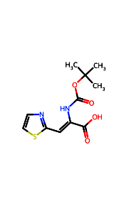 CC(C)(C)OC(=O)N/C(=C\c1nccs1)C(=O)O